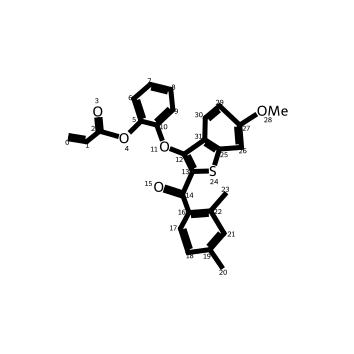 C=CC(=O)Oc1ccccc1Oc1c(C(=O)c2ccc(C)cc2C)sc2cc(OC)ccc12